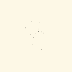 CC(C)(C)OC(=O)N1CCCC(F)C1=O